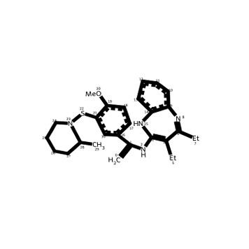 C=C(NC1=C(CC)C(CC)=Nc2ccccc2N1)c1ccc(OC)c(SN2CCCCC2C)c1